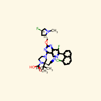 CN1C[C@H](F)C[C@H]1COc1nc(N2CCN(C(=O)O)[C@@](CC#N)(C(C)(C)C)C2)c2cnc(-c3cccc4cccc(Cl)c34)c(F)c2n1